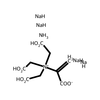 C=C(C(=O)[O-])[N+](CC(=O)O)(CC(=O)O)CC(=O)O.N.[NaH].[NaH].[NaH].[NaH]